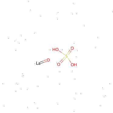 O=S(=O)(O)O.[O]=[La]